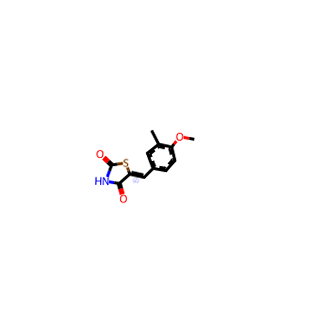 COc1ccc(/C=C2\SC(=O)NC2=O)cc1C